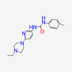 CCN1CCN(c2ccc(NC(=O)Nc3ccc(C)cc3)cn2)CC1